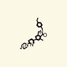 CCc1ccc(CN2Cc3cc(-c4ccc(N5CCN(C)CC5)nc4)cc(C)c3C2=O)cc1